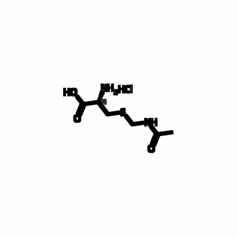 CC(=O)NCSC[C@H](N)C(=O)O.Cl